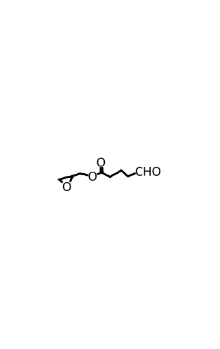 O=CCCCC(=O)OCC1CO1